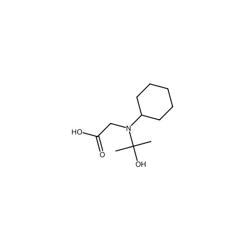 CC(C)(O)N(CC(=O)O)C1CCCCC1